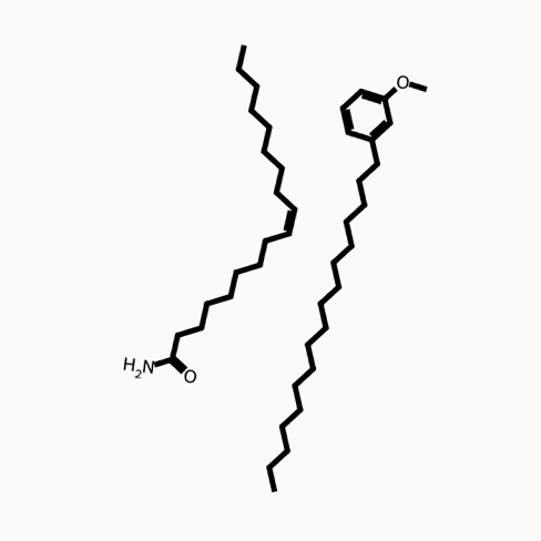 CCCCCCCC/C=C\CCCCCCCC(N)=O.CCCCCCCCCCCCCCCCCc1cccc(OC)c1